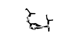 CB(C(C)C)n1cc(SC(C)C)nn1